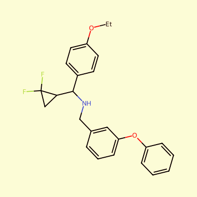 CCOc1ccc(C(NCc2cccc(Oc3ccccc3)c2)C2CC2(F)F)cc1